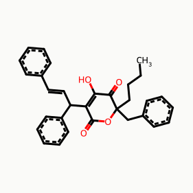 CCCCC1(Cc2ccccc2)OC(=O)C(C(C=Cc2ccccc2)c2ccccc2)=C(O)C1=O